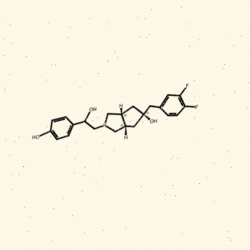 Oc1ccc(C(O)CN2C[C@@H]3C[C@](O)(Cc4ccc(F)c(F)c4)C[C@@H]3C2)cc1